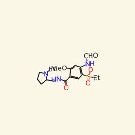 CCN1CCCC1CNC(=O)c1cc(S(=O)(=O)CC)c(NC=O)cc1OC